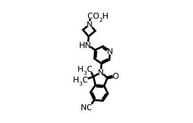 CC1(C)c2cc(C#N)ccc2C(=O)N1c1cncc(NC2CN(C(=O)O)C2)c1